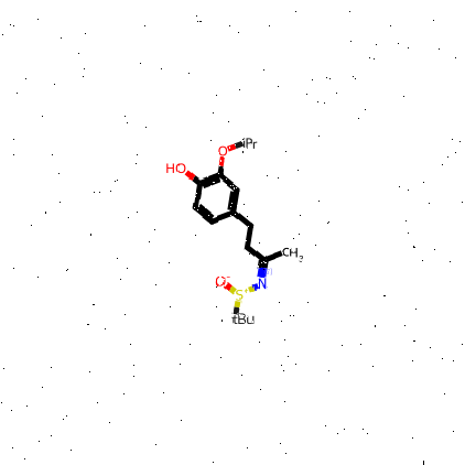 C/C(CCc1ccc(O)c(OC(C)C)c1)=N/[S+]([O-])C(C)(C)C